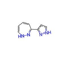 C1=CNN=C(c2cc[nH]n2)C=C1